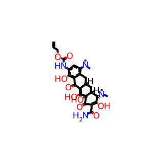 C=CCOC(=O)Nc1cc(N(C)C)c2c(c1O)C(=O)C1=C(O)[C@@]3(O)C(=O)C(C(N)=O)=C(O)[C@@H](N(C)C)[C@H]3C[C@H]1C2